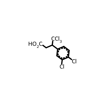 O=C(O)CC(c1ccc(Cl)c(Cl)c1)C(Cl)(Cl)Cl